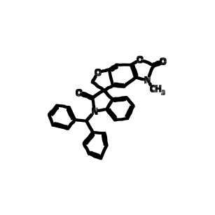 Cn1c(=O)oc2cc3c(cc21)C1(CO3)C(=O)N(C(c2ccccc2)c2ccccc2)c2ccccc21